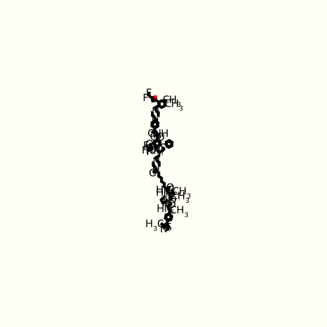 Cc1ncsc1-c1ccc([C@H](C)NC(=O)[C@@H]2CCCN2C(=O)C(NC(=O)CCCCCCC(=O)N2CCN(CC[C@H](CSc3ccccc3)Nc3ccc(S(=O)(=O)NC(=O)c4ccc(N5CCN(CC6=C(C78CC(C(F)F)(C7)C8)CC(C)(C)CC6)CC5)cc4)cc3S(=O)(=O)C(F)(F)F)CC2)C(C)(C)C)cc1